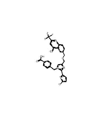 O=C(O)c1ccc(Cn2cc(COCc3ccc4nc(C(F)(F)F)cc(Cl)c4c3)nc2-c2ccc(Cl)s2)cc1